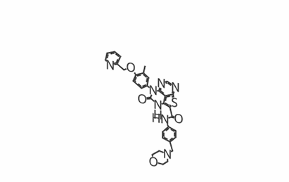 Cc1cc(N2C(=O)Nc3c(C(=O)Nc4ccc(CN5CCOCC5)cc4)sc4ncnc2c34)ccc1OCc1ccccn1